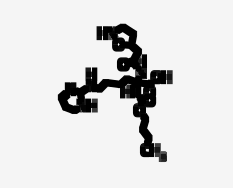 CCCCOC(=O)NC(CCCCNC1N=CCCN1)(NC(=O)CC1CCNO1)C(=O)O